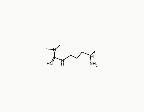 C[C@@H](N)CCCNC(=N)N(C)C